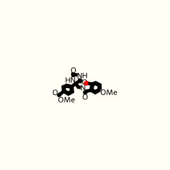 COC(=O)c1ccc(C2(CN3Cc4ccc(OC)cc4C3=O)NC(=O)NC2=O)cc1